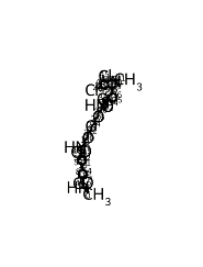 CCNS(=O)(=O)c1ccc(-c2ccc(S(=O)(=O)NCCOCCOCCOCCNS(=O)(=O)c3cccc(C4CN(C)Cc5c(Cl)cc(Cl)cc54)c3)cc2)cc1